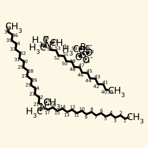 CCCCCCCCCCCCCCCCCC[N+](C)(C)CCCCCCCCCCCCCCCCCC.CCCCCCCCCCCCCCCC[N+](C)(C)C.COS(=O)(=O)[O-].[Br-]